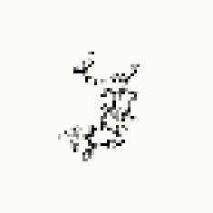 CC(=O)OC[C@H]1O[C@@H](n2cc(C(F)(F)F)c(=O)[nH]c2=O)[C@@H](OC(C)=O)C1OC(C)=O